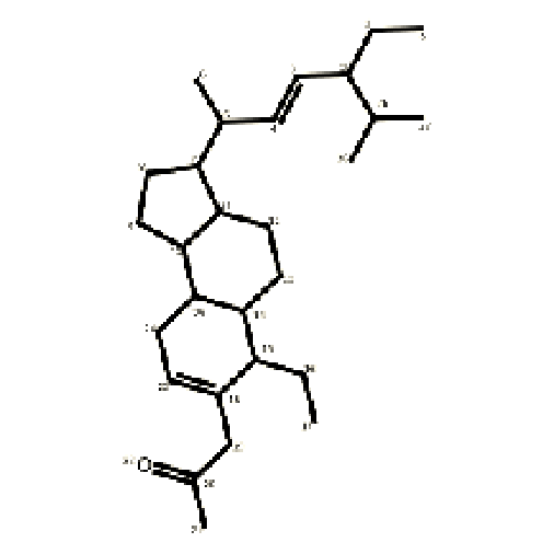 CCC(/C=C/C(C)C1CCC2C1CCC1C(CC)C(CC(C)=O)=CCC12)C(C)C